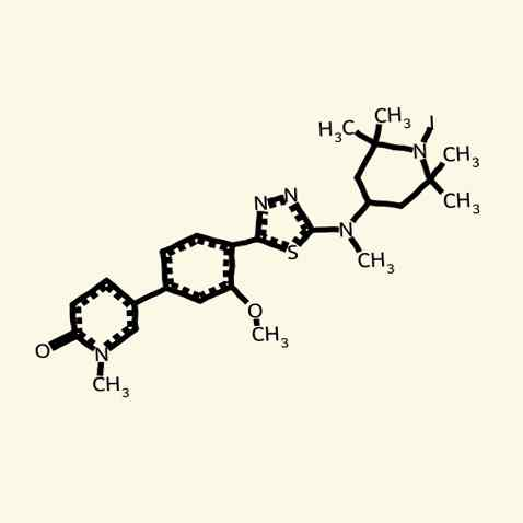 COc1cc(-c2ccc(=O)n(C)c2)ccc1-c1nnc(N(C)C2CC(C)(C)N(I)C(C)(C)C2)s1